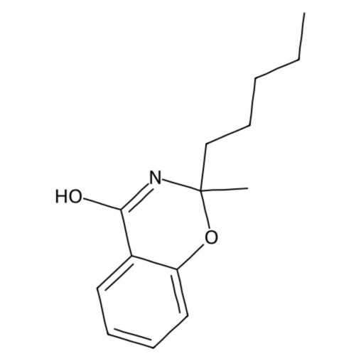 CCCCCC1(C)N=C(O)c2ccccc2O1